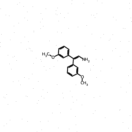 COc1cccc(C(=CN)c2cccc(OC)c2)c1